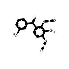 Cc1cccc(C(=O)c2ccc(N=C=O)c(C)c2N=C=O)c1